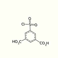 O=C(O)c1cc(C(=O)O)cc(S(=O)(=O)Cl)c1